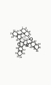 O=C(c1ccc2ccccc2c1)c1cc(C(=O)c2ccc3ccccc3c2)c(-c2ccc3ccccc3c2)nc1-c1ccc2ccccc2c1